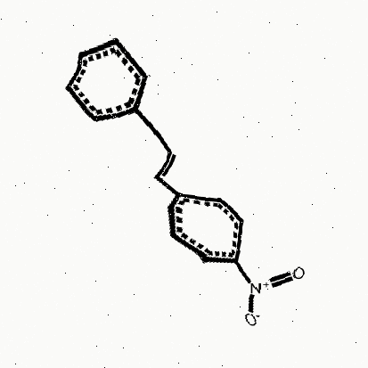 O=[N+]([O-])c1ccc(C=Cc2[c]cccc2)cc1